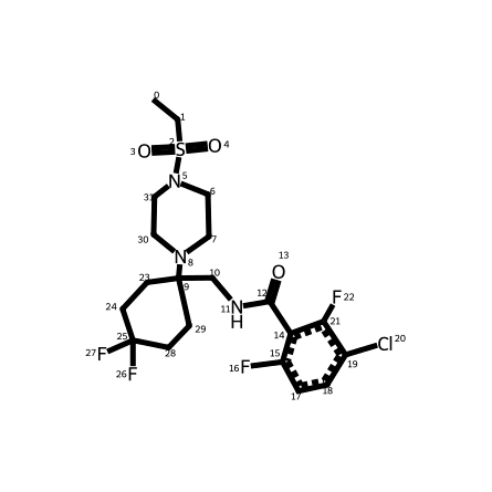 CCS(=O)(=O)N1CCN(C2(CNC(=O)c3c(F)ccc(Cl)c3F)CCC(F)(F)CC2)CC1